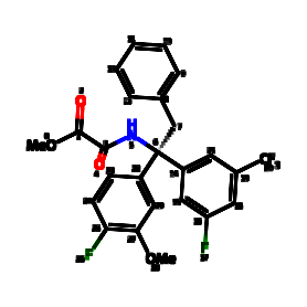 COC(=O)C(=O)N[C@@](Cc1ccccc1)(c1cc(F)cc(C(F)(F)F)c1)c1ccc(F)c(OC)c1